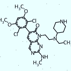 CCN(CCn1c(=O)c(-c2c(Cl)c(OC)cc(OC)c2Cl)cc2cnc(NC)nc21)C1CCNCC1